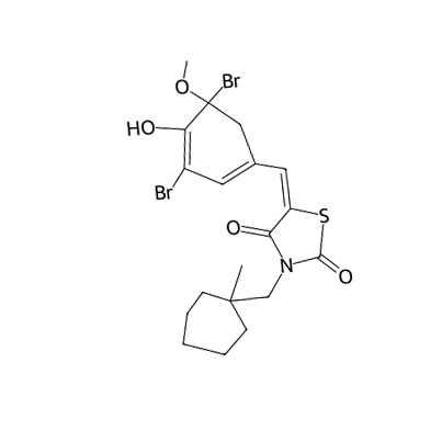 COC1(Br)CC(C=C2SC(=O)N(CC3(C)CCCCC3)C2=O)=CC(Br)=C1O